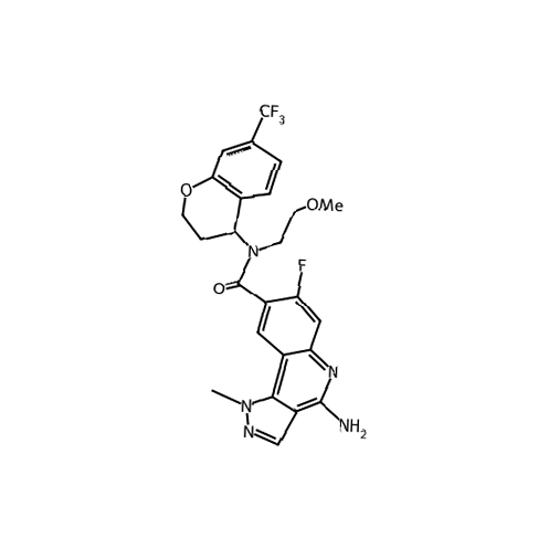 COCCN(C(=O)c1cc2c(cc1F)nc(N)c1cnn(C)c12)C1CCOc2cc(C(F)(F)F)ccc21